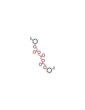 O=C(COC(=O)COc1cccc(I)c1)COC(=O)COc1cccc(I)c1